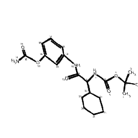 CC(C)(C)OC(=O)NC(C(=O)Nc1cccc(OC(N)=O)c1)C1CCCCC1